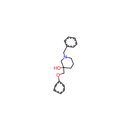 OC1(COc2ccccc2)CCCN(Cc2ccccc2)C1